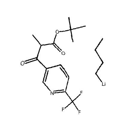 CC(C(=O)OC(C)(C)C)C(=O)c1ccc(C(F)(F)F)nc1.[Li][CH2]CCC